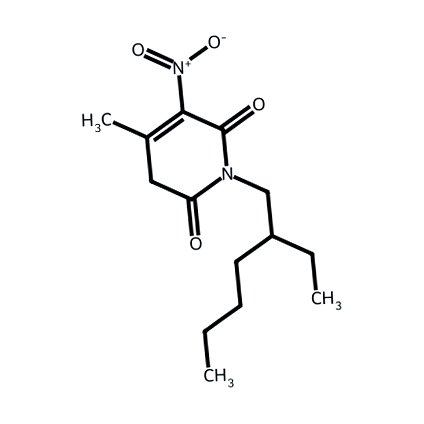 CCCCC(CC)CN1C(=O)CC(C)=C([N+](=O)[O-])C1=O